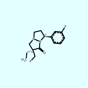 CC[C@]1(CF)CN2CC[C@@H](c3cccc(F)c3)N2C1=O